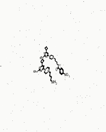 CC(C)(C)c1nc(C2CCC2)cc(N2CCN(CCCCN)CC2)n1.CC(C)(C)c1nc(C2CCC2)cc(N2CCN(CCCCNC(=O)c3ccc([N+](=O)[O-])cc3)CC2)n1